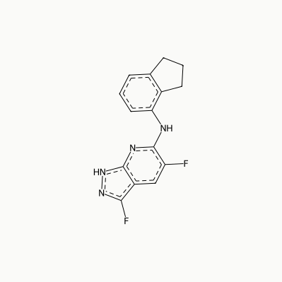 Fc1cc2c(F)n[nH]c2nc1Nc1cccc2c1CCC2